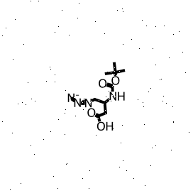 CC(C)(C)OC(=O)NC(CN=[N+]=[N-])CC(=O)O